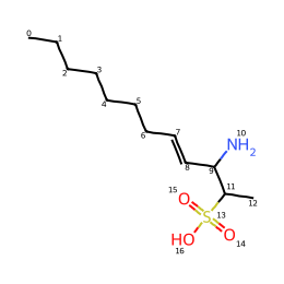 CCCCCCCC=CC(N)C(C)S(=O)(=O)O